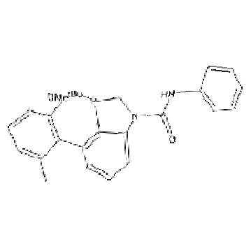 COc1cccc(C)c1-c1cccc2c1P(C(C)(C)C)CN2C(=O)Nc1ccccc1